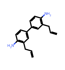 C=CCc1cc(-c2ccc(N)c(CC=C)c2)ccc1N